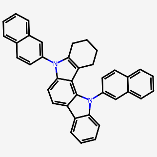 c1ccc2cc(-n3c4c(c5c3ccc3c6ccccc6n(-c6ccc7ccccc7c6)c35)CCCC4)ccc2c1